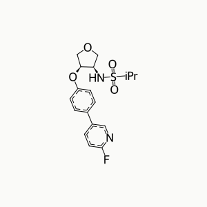 CC(C)S(=O)(=O)N[C@@H]1COC[C@@H]1Oc1ccc(-c2ccc(F)nc2)cc1